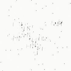 CCCCNC(=O)CCCCCCC(=O)NCCCCC(C)NC(=O)C(Cc1ccccc1)NC(=O)CNC(=O)CN1CCN(CC)CCN(CC(N)=O)CCN(CC(N)=O)CC1